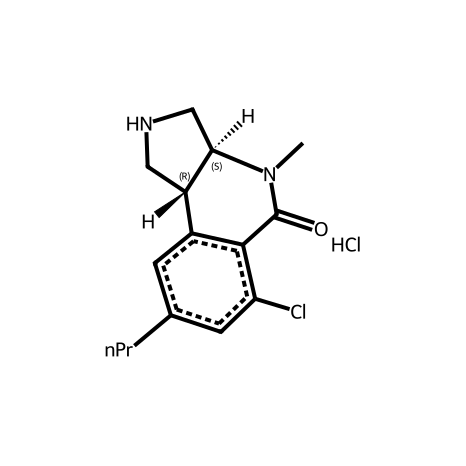 CCCc1cc(Cl)c2c(c1)[C@@H]1CNC[C@H]1N(C)C2=O.Cl